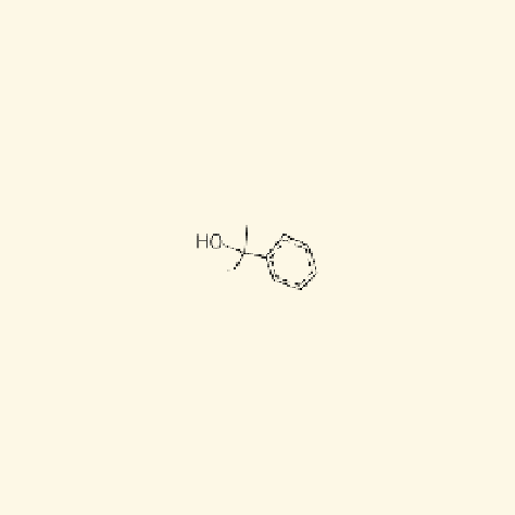 [CH2]C(C)(O)c1ccccc1